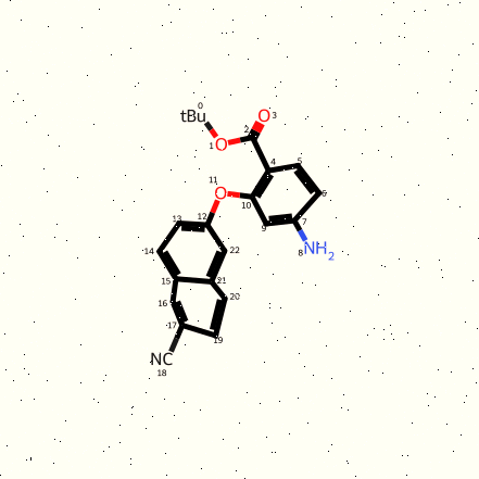 CC(C)(C)OC(=O)c1ccc(N)cc1Oc1ccc2cc(C#N)ccc2c1